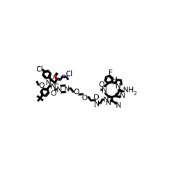 C=C/C(=C\C=C(/C)Cl)[C@@]1(C)N(C(=O)N2CCN(CCOCCOCCC(=O)N(C)CCn3nc(C#N)c4c3CN(C)C(=O)c3ccc(F)cc3[C@H]3CCCN3c3cc-4cnc3N)CC2)C(c2ccc(C(C)(C)C)cc2OCC)=N[C@@]1(C)c1ccc(Cl)cc1